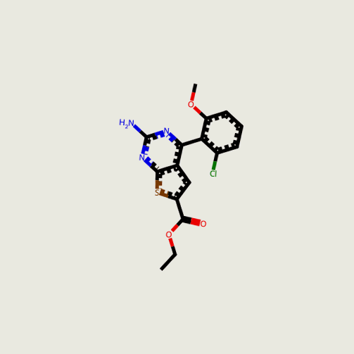 CCOC(=O)c1cc2c(-c3c(Cl)cccc3OC)nc(N)nc2s1